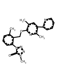 Cc1cc(-c2ccccn2)c(C)nc1OCc1c(C)cccc1-n1nnn(C)c1=O